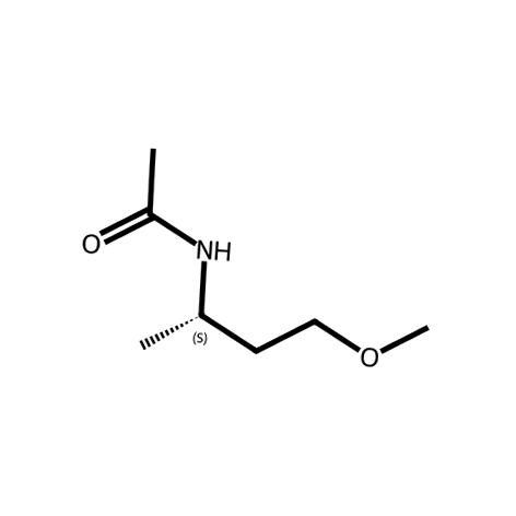 COCC[C@H](C)NC(C)=O